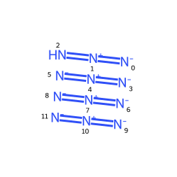 [N-]=[N+]=N.[N-]=[N+]=[N-].[N-]=[N+]=[N-].[N-]=[N+]=[N-]